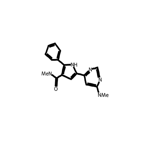 CNC(=O)c1cc(-c2cc(NC)ncn2)[nH]c1-c1ccccc1